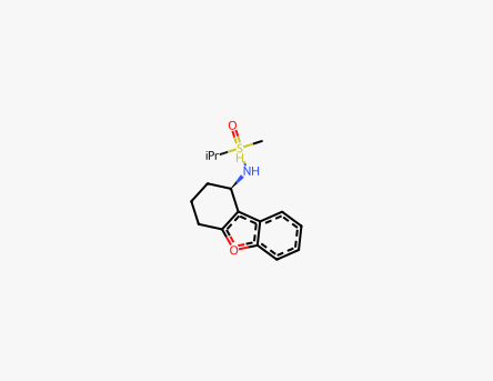 CC(C)[SH](C)(=O)N[C@@H]1CCCc2oc3ccccc3c21